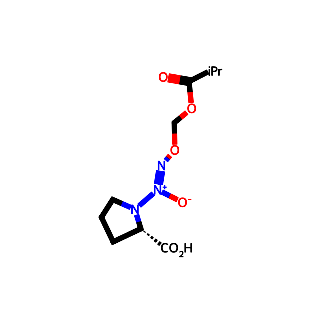 CC(C)C(=O)OCON=[N+]([O-])N1CCC[C@H]1C(=O)O